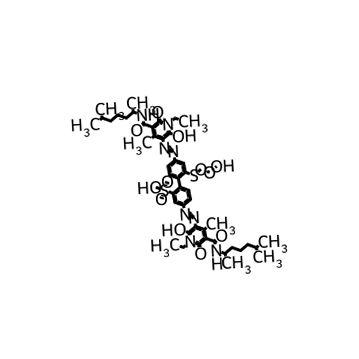 CCn1c(O)c(N=Nc2ccc(-c3ccc(N=Nc4c(C)c(C(=O)NC(C)CCCC(C)C)c(=O)n(CC)c4O)cc3S(=O)(=O)O)c(SOOO)c2)c(C)c(C(=O)NC(C)CCCC(C)C)c1=O